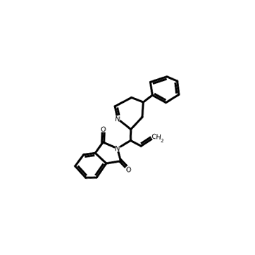 C=CC(C1CC(c2ccccc2)CC=N1)N1C(=O)c2ccccc2C1=O